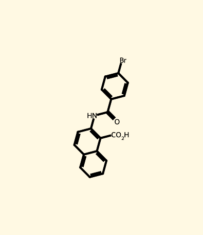 O=C(Nc1ccc2ccccc2c1C(=O)O)c1ccc(Br)cc1